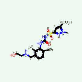 CC(C)c1ccc(CNCCO)c(C(C)C)c1NC(=O)NS(=O)(=O)c1cc(C(=O)O)n(C)n1